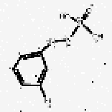 CCc1cccc(NNP(=O)(O)O)c1